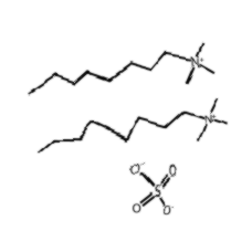 CCCCCCCC[N+](C)(C)C.CCCCCCCC[N+](C)(C)C.O=S(=O)([O-])[O-]